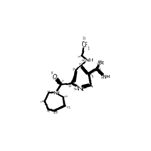 N=C(Br)c1cnc(C(=O)N2CCCCCC2)cc1NCC(F)(F)F